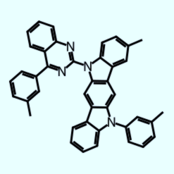 Cc1cccc(-c2nc(-n3c4ccc(C)cc4c4cc5c(cc43)c3ccccc3n5-c3cccc(C)c3)nc3ccccc23)c1